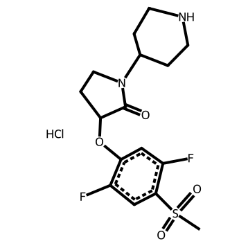 CS(=O)(=O)c1cc(F)c(OC2CCN(C3CCNCC3)C2=O)cc1F.Cl